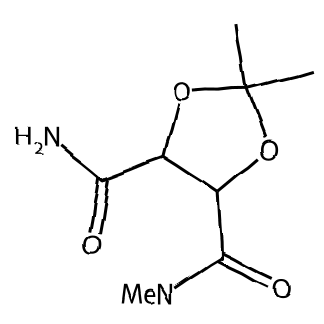 CNC(=O)C1OC(C)(C)OC1C(N)=O